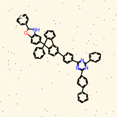 c1ccc(-c2ccc(-c3nc(-c4ccccc4)nc(-c4ccc(-c5ccc6c(c5)-c5ccccc5C6(c5ccccc5)c5ccc6c(c5)NC(c5ccccc5)O6)cc4)n3)cc2)cc1